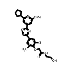 COc1cc(-c2nc(-c3cc(C)c(OCC(=O)NCCO)c(Cl)c3)no2)cc(C2CCCC2)n1